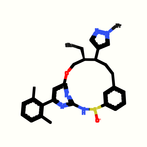 Cc1cccc(C)c1-c1cc2nc(n1)N[S+]([O-])c1cccc(c1)CCC(c1cnn(C(C)C)c1)[C@H](CC(C)(C)C)CO2